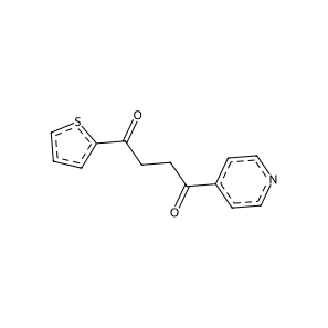 O=C(CCC(=O)c1cccs1)c1ccncc1